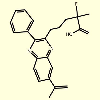 C=C(C)c1ccc2nc(-c3ccccc3)c(CCCC(C)(F)C(=C)O)nc2c1